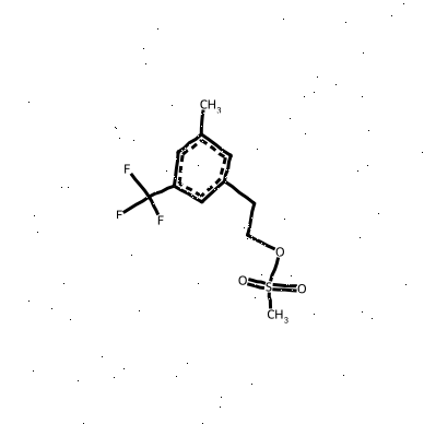 Cc1cc(CCOS(C)(=O)=O)cc(C(F)(F)F)c1